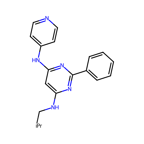 CC(C)CNc1cc(Nc2ccncc2)nc(-c2ccccc2)n1